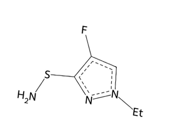 CCn1cc(F)c(SN)n1